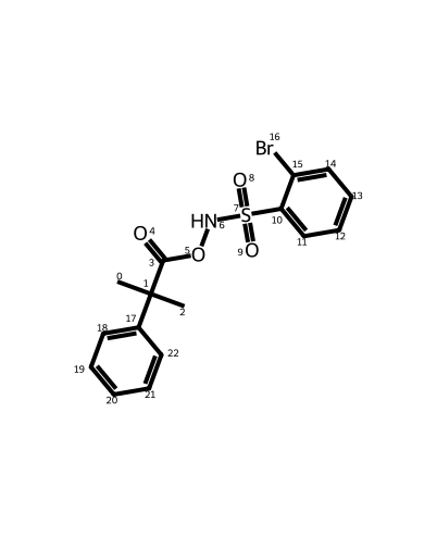 CC(C)(C(=O)ONS(=O)(=O)c1ccccc1Br)c1ccccc1